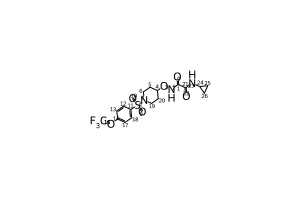 O=C(NOC1CCN(S(=O)(=O)c2ccc(OC(F)(F)F)cc2)CC1)C(=O)NC1CC1